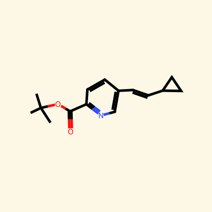 CC(C)(C)OC(=O)c1ccc(C=CC2CC2)cn1